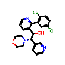 O[C@H](c1cccnc1-c1cc(Cl)ccc1Cl)[C@H](c1cccnc1)N1CCOCC1